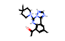 CC(=O)c1cc(C)cc2c1nc(N1CCC(C)(C)CC1)n1ncnc21